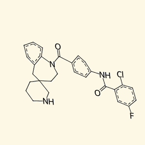 O=C(Nc1ccc(C(=O)N2CCC3(CCCNC3)Cc3ccccc32)cc1)c1cc(F)ccc1Cl